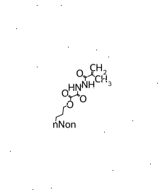 C=C(C)C(=O)NNC(=O)C(=O)OCCCCCCCCCCCC